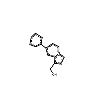 OCc1nnn2ccc(-c3ccccc3)cc12